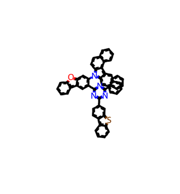 c1ccc(-c2nc(-c3ccc4c(c3)sc3ccccc34)nc(-c3cc4c(cc3-n3c5cc6ccccc6cc5c5c6ccccc6ccc53)oc3ccccc34)n2)cc1